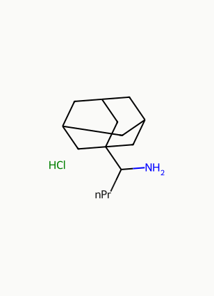 CCCC(N)C12CC3CC(CC(C3)C1)C2.Cl